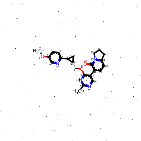 COc1ccc(C2C[C@@H]2COc2nc(C)ncc2-c2ccc3n(c2=O)CCC3)nc1